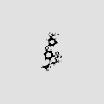 COc1cccc(Oc2ccc3c(c2)S(=O)(=O)NCN3C2CC2)c1